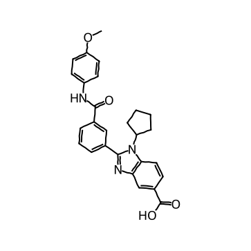 COc1ccc(NC(=O)c2cccc(-c3nc4cc(C(=O)O)ccc4n3C3CCCC3)c2)cc1